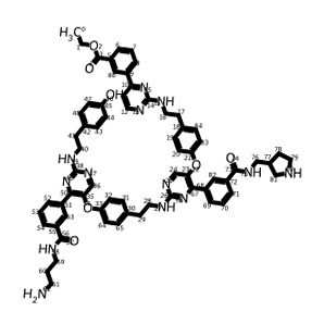 CCOC(=O)c1cccc(-c2ccnc(NCCc3ccc(Oc4cnc(NCCc5ccc(Oc6cnc(NCCc7ccc(O)cc7)nc6-c6cccc(C(=O)NCCCN)c6)cc5)nc4-c4cccc(C(=O)NCC5CCNC5)c4)cc3)n2)c1